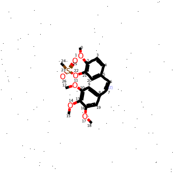 COc1ccc(/C=C\c2cc(OC)c(OC)c(OC)c2)cc1OS(C)(=O)=O